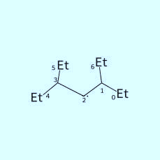 CCC([CH]C(CC)CC)CC